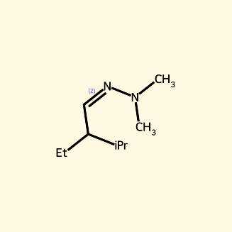 CCC(/C=N\N(C)C)C(C)C